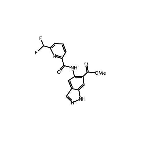 COC(=O)c1cc2[nH]ncc2cc1NC(=O)c1cccc(C(F)F)n1